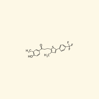 Cc1cc(C(=O)CCc2sc(-c3ccc(C(F)(F)F)cc3)cc2C)ccc1O